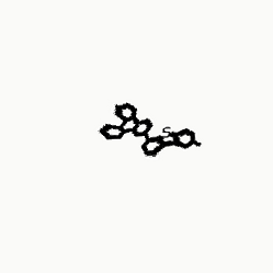 Cc1ccc2sc3c(-c4ccc5c6ccccc6c6ccccc6c5c4)cccc3c2c1